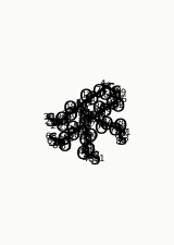 CSCC(C)C(=O)OCCOC(=O)CCN(CCC(=O)OCCOC(=O)C(C)CSC)CCN(CCN(CCC(=O)OCCOC(=O)C(C)CSC)CCC(=O)OCCOC(=O)C(C)CSC)CCN(CCC(=O)OCCOC(=O)C(C)CSC)CCC(=O)OCCOC(=O)C(C)CSC